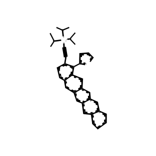 CC(C)[Si](C#Cc1ccc2cc3cc4cc5ccccc5cc4cc3cc2c1-c1cccs1)(C(C)C)C(C)C